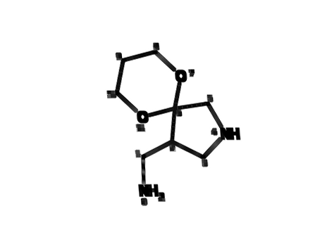 NCC1CNCC12OCCCO2